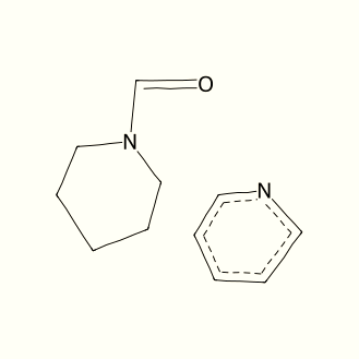 O=CN1CCCCC1.c1ccncc1